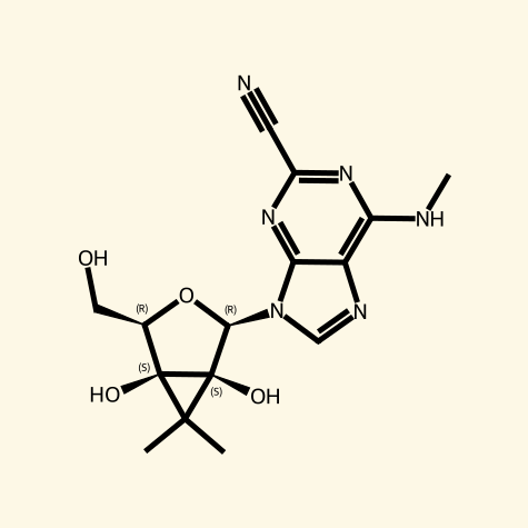 CNc1nc(C#N)nc2c1ncn2[C@@H]1O[C@H](CO)[C@@]2(O)C(C)(C)[C@@]12O